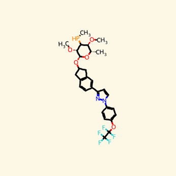 CO[C@@H]1C(PC)[C@@H](OC)[C@H](C)O[C@H]1OC1Cc2ccc(-c3ccn(-c4ccc(OC(F)(F)C(F)(F)F)cc4)n3)cc2C1